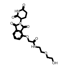 O=C(COc1cccc2c1C(=O)N(C1CCC(=O)NC1=O)C2=O)NCCOCCO